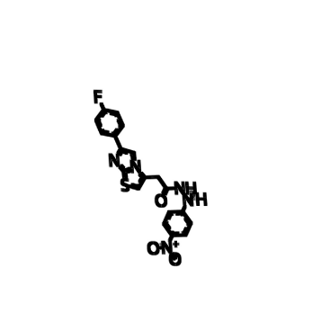 [2H]N(NC(=O)Cc1csc2nc(-c3ccc(F)cc3)cn12)c1ccc([N+](=O)[O-])cc1